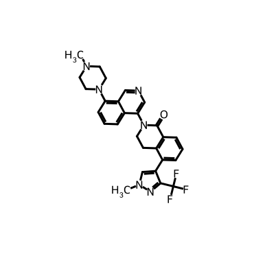 CN1CCN(c2cccc3c(N4CCc5c(cccc5-c5cn(C)nc5C(F)(F)F)C4=O)cncc23)CC1